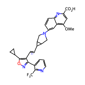 COc1cc(C(=O)O)nc2ccc(N3CC4C(/C=C/c5c(-c6cccnc6C(F)(F)F)noc5C5CC5)C4C3)cc12